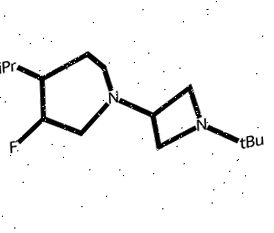 CC(C)C1CCN(C2CN(C(C)(C)C)C2)CC1F